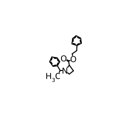 CC(c1ccccc1)N1CCC1C(=O)OCCc1ccccc1